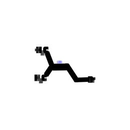 [CH2]/C(C)=C/CBr